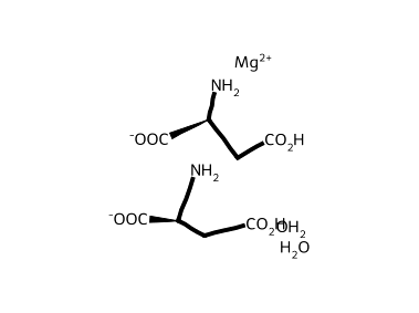 N[C@@H](CC(=O)O)C(=O)[O-].N[C@@H](CC(=O)O)C(=O)[O-].O.O.[Mg+2]